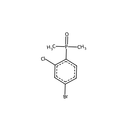 CP(C)(=O)c1ccc(Br)cc1Cl